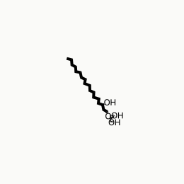 CCCCCCCCCCCCCCC[C@@H](O)CCOP(O)O